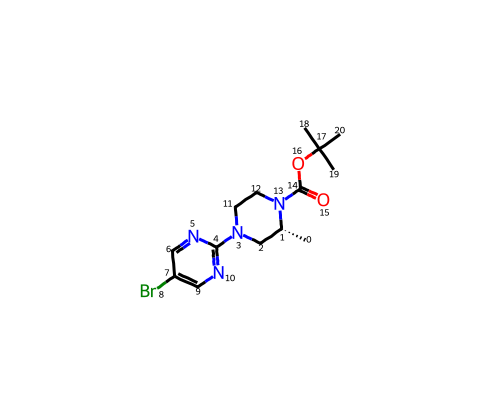 C[C@@H]1CN(c2ncc(Br)cn2)CCN1C(=O)OC(C)(C)C